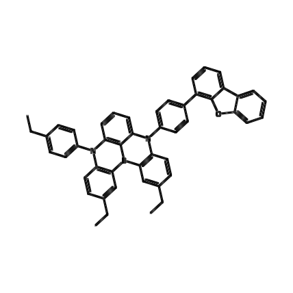 CCc1ccc(N2c3ccc(CC)cc3B3c4cc(CC)ccc4N(c4ccc(-c5cccc6c5oc5ccccc56)cc4)c4cccc2c43)cc1